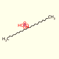 CCCCCCCCCCCCC(CCCCCCCCCCC)OP(=O)(O)O